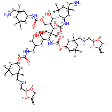 C=C1COC(CNCC2(C)CC(OC(=O)NCC(CO)CC(CO)C(NC(=O)OC3CC(C)(C)CC(C)(CNCC4OCC(=C)O4)C3)C(CO)(COC(=O)NC3CC(C)(C)CC(C)(CN)C3)CC(CO)COC(=O)NC3CC(C)(C)CC(C)(CN)C3)CC(C)(C)C2)O1